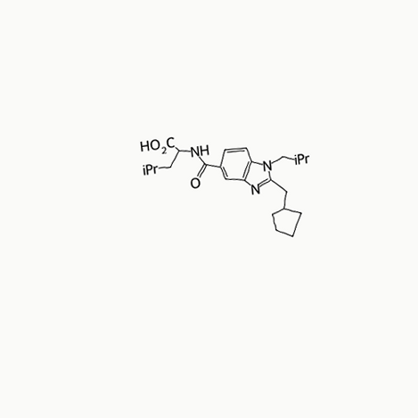 CC(C)CC(NC(=O)c1ccc2c(c1)nc(CC1CCCC1)n2CC(C)C)C(=O)O